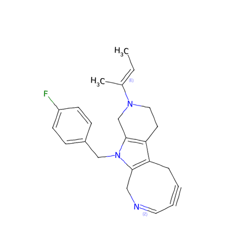 C/C=C(\C)N1CCc2c3c(n(Cc4ccc(F)cc4)c2C1)C/N=C\C#CC3